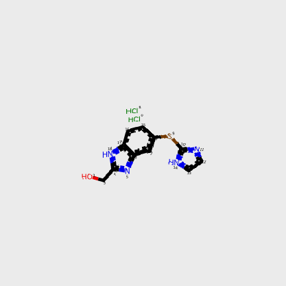 Cl.Cl.OCc1nc2cc(Sc3ncc[nH]3)ccc2[nH]1